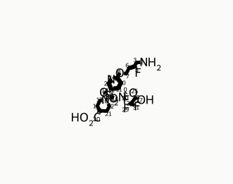 CN.NC/C(F)=C/COc1ccc(S(=O)(=O)N2CCC(C(=O)O)CC2)cn1.O=C(O)C(F)(F)F